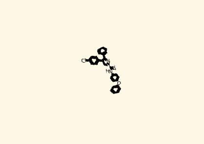 S=C(Nc1ccc(Oc2ccccc2)cc1)N1CC(c2ccc(Cl)cc2)C(c2ccccc2)=N1